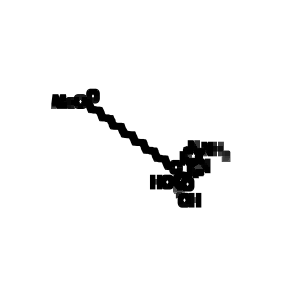 COC(=O)CCCCCCCCCCCCCCCOC1C(O)[C@@H](CO)O[C@H]1n1cnc2c(N)ncnc21